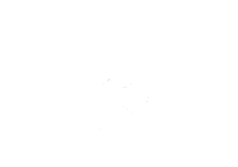 CCCOC(=O)c1ccccc1O[C]=O